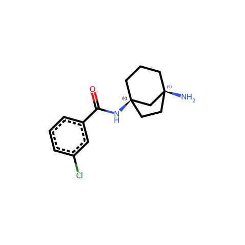 N[C@@]12CCC[C@@](NC(=O)c3cccc(Cl)c3)(CC1)C2